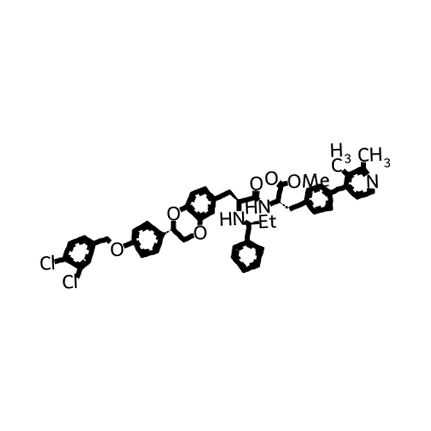 CC[C@H](N[C@@H](Cc1ccc2c(c1)OC[C@H](c1ccc(OCc3ccc(Cl)c(Cl)c3)cc1)O2)C(=O)N[C@@H](Cc1ccc(-c2ccnc(C)c2C)cc1)C(=O)OC)c1ccccc1